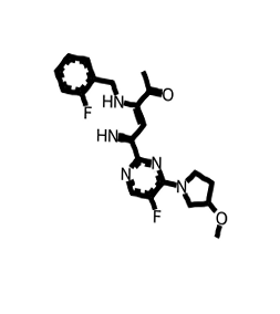 COC1CCN(c2nc(C(=N)/C=C(\NCc3ccccc3F)C(C)=O)ncc2F)C1